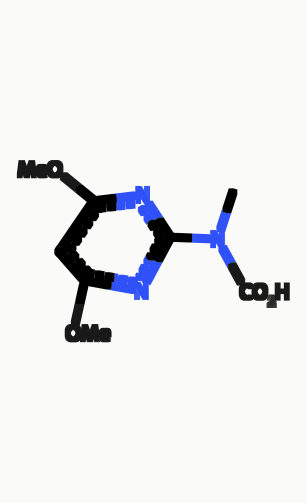 COc1cc(OC)nc(N(C)C(=O)O)n1